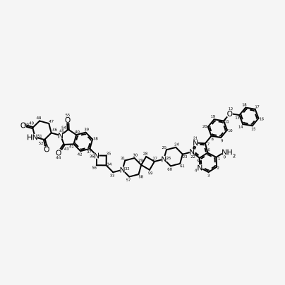 Nc1ccnc2c1c(-c1ccc(Oc3ccccc3)cc1)nn2C1CCN(C2CC3(CCN(CC4CN(c5ccc6c(c5)C(=O)N(C5CCC(=O)NC5=O)C6=O)C4)CC3)C2)CC1